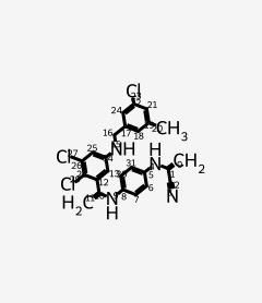 C=C(C#N)Nc1ccc(NC(=C)c2cc(NCc3cc(C)cc(Cl)c3)cc(Cl)c2Cl)cc1